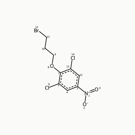 O=[N+]([O-])c1cc(Cl)c(OCCCBr)c(Cl)c1